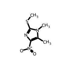 CSc1nc([N+](=O)[O-])c(C)n1C